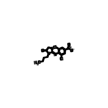 CCCCN1C(=O)CSC1=Nc1c(Cl)cc([N+](=O)[O-])cc1Cl